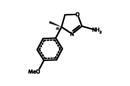 COc1ccc([C@@]2(C)COC(N)=N2)cc1